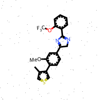 COc1cc(C2=NC(c3ccccc3OC(F)(F)F)=NC2)ccc1-c1cscc1C